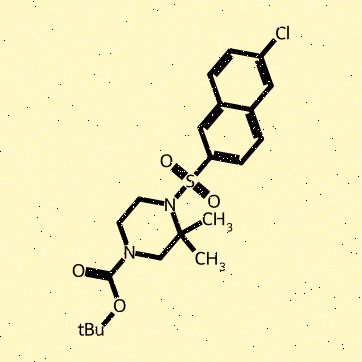 CC(C)(C)OC(=O)N1CCN(S(=O)(=O)c2ccc3cc(Cl)ccc3c2)C(C)(C)C1